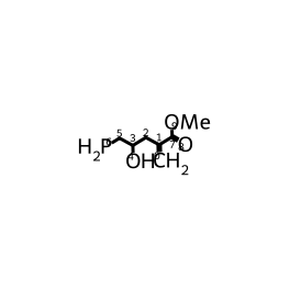 C=C(CC(O)CP)C(=O)OC